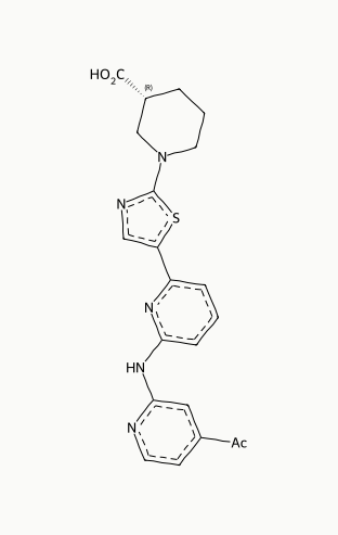 CC(=O)c1ccnc(Nc2cccc(-c3cnc(N4CCC[C@@H](C(=O)O)C4)s3)n2)c1